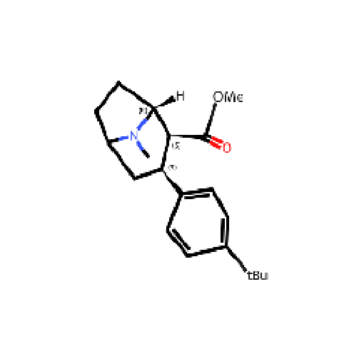 COC(=O)[C@H]1[C@@H](c2ccc(C(C)(C)C)cc2)CC2CC[C@H]1N2C